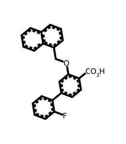 O=C(O)c1ccc(-c2ccccc2F)cc1OCc1cccc2ccccc12